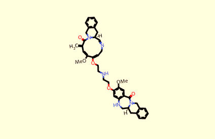 C=C1/C=C(OC)\C(OCCNCCOc2cc3c(cc2OC)C(=O)N2Cc4ccccc4C[C@H]2CN3)=C/C/N=C\[C@@H]2Cc3ccccc3CN2C1=O